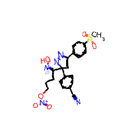 CS(=O)(=O)c1ccc(C2=CC(/C(CCCO[N+](=O)[O-])=N\O)(c3ccc(C#N)cc3)N=N2)cc1